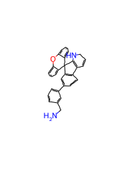 NCc1cccc(-c2ccc3c(c2)C2(C4=C3C=CCN4)c3ccccc3Oc3ccccc32)c1